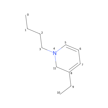 CCCCN1C=CC=C(CC)C1